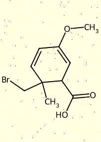 COC1=CC(C(=O)O)C(C)(CBr)C=C1